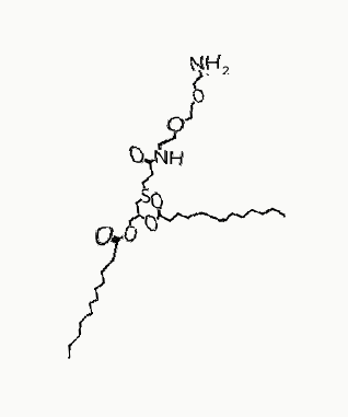 CCCCCCCCCCCC(=O)OCC(CSCCC(=O)NCCOCCOC[CH]N)OC(=O)CCCCCCCCCCC